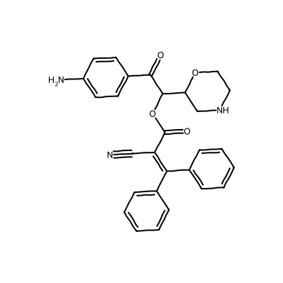 N#CC(C(=O)OC(C(=O)c1ccc(N)cc1)C1CNCCO1)=C(c1ccccc1)c1ccccc1